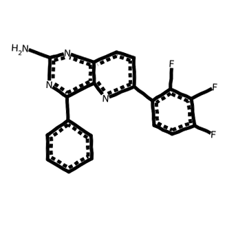 Nc1nc(-c2ccccc2)c2nc(-c3ccc(F)c(F)c3F)ccc2n1